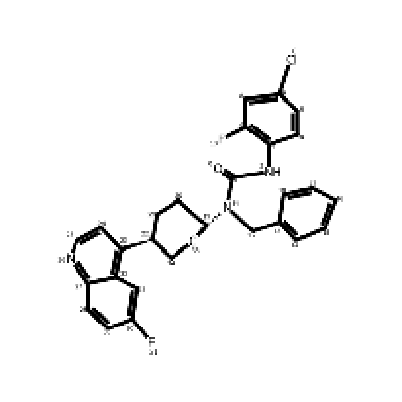 O=C(Nc1ccc(Cl)cc1F)N(Cc1ccccc1)[C@H]1CC[C@H](c2ccnc3ccc(F)cc32)CC1